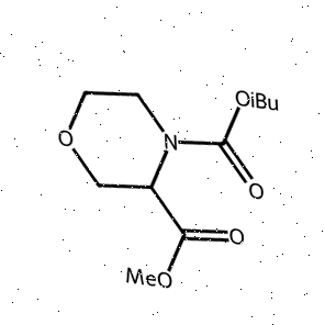 COC(=O)C1COCCN1C(=O)OCC(C)C